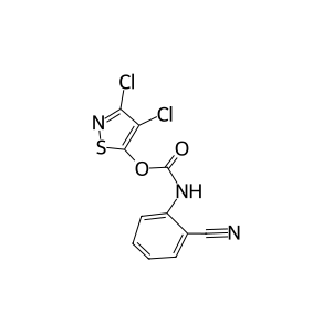 N#Cc1ccccc1NC(=O)Oc1snc(Cl)c1Cl